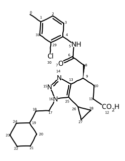 Cc1ccc(NC(=O)C[C@@H](CCC(=O)O)c2nnn(CCC3CCCCC3)c2C2CC2)c(Cl)c1